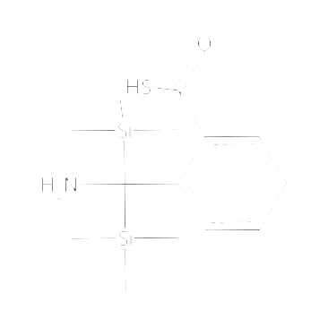 C[Si](C)(C)C(N)(c1ccccc1C(=O)S)[Si](C)(C)C